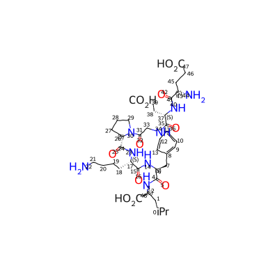 CC(C)C[C@H](NC(=O)[C@H](Cc1ccccc1)NC(=O)[C@H](CCCCN)NC(=O)[C@@H]1CCCN1C(=O)CNC(=O)[C@H](CC(=O)O)NC(=O)[C@@H](N)CCC(=O)O)C(=O)O